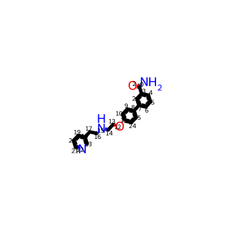 NC(=O)c1cccc(-c2ccc(OCCNCCc3cccnc3)cc2)c1